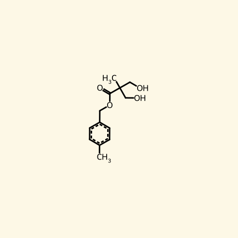 Cc1ccc(COC(=O)C(C)(CO)CO)cc1